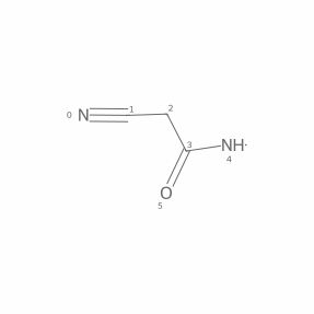 N#CCC([NH])=O